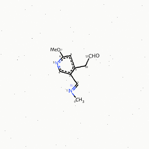 C/N=C/c1cnc(OC)cc1CC=O